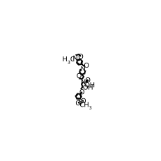 CN1CCOc2cc(C(=O)N3CCC4(CC3)CC(N(CC(O)COc3cccc(S(C)(=O)=O)c3)C(=O)O)CO4)ccc21